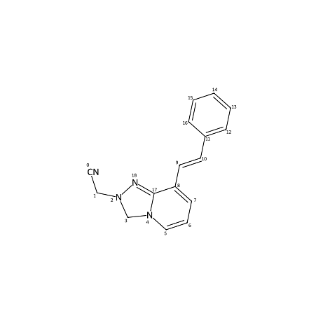 N#CCN1CN2C=CC=C(C=Cc3ccccc3)C2=N1